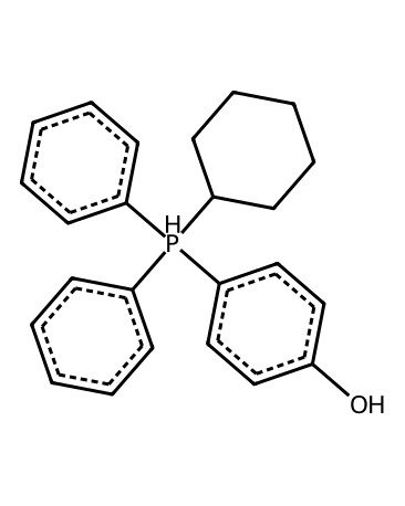 Oc1ccc([PH](c2ccccc2)(c2ccccc2)C2CCCCC2)cc1